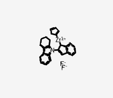 C1=CC[C]([Zr+2][CH]2C(n3c4c(c5ccccc53)CCCC4)=Cc3ccccc32)=C1.[F-].[F-]